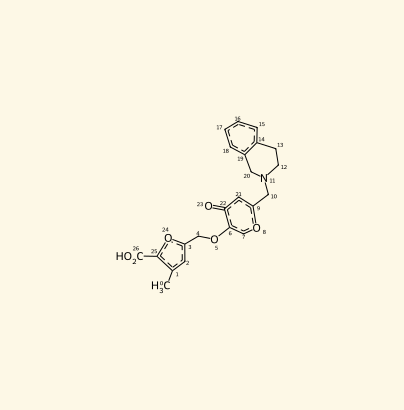 Cc1cc(COc2coc(CN3CCc4ccccc4C3)cc2=O)oc1C(=O)O